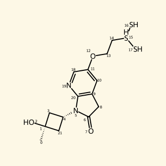 C[C@]1(O)C[C@H](N2C(=O)Cc3cc(OCC[SH](S)S)cnc32)C1